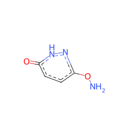 NOc1ccc(=O)[nH]n1